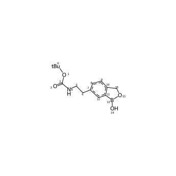 CC(C)(C)OC(=O)NCCc1ccc2c(c1)B(O)OC2